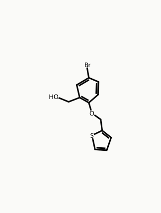 OCc1cc(Br)ccc1OCc1cccs1